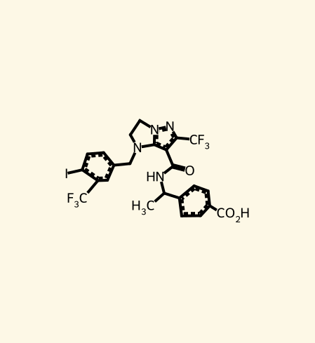 CC(NC(=O)c1c(C(F)(F)F)nn2c1N(Cc1ccc(I)c(C(F)(F)F)c1)CC2)c1ccc(C(=O)O)cc1